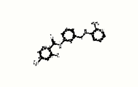 Nc1ncccc1NCc1cccc(NC(=O)c2ncc(C(F)(F)F)cc2Cl)c1